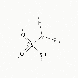 O=S(=O)(S)C(F)F